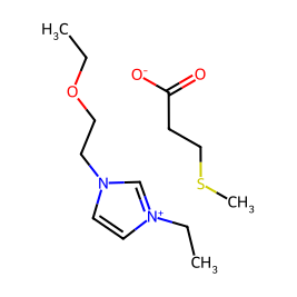 CCOCCn1cc[n+](CC)c1.CSCCC(=O)[O-]